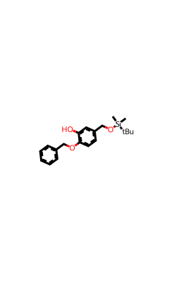 CC(C)(C)[Si](C)(C)OCc1ccc(OCc2ccccc2)c(O)c1